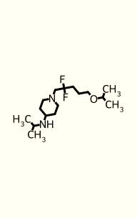 CC(C)NC1CCN(CC(F)(F)CCCOC(C)C)CC1